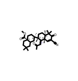 COC(=O)[C@]12CCC(C)(C)CC1C[C@](C)([C@]1(C)CC[C@H]3C(C)(C)C(=O)C(C#N)=C[C@]3(C)/C1=C/C(C)=O)CC2